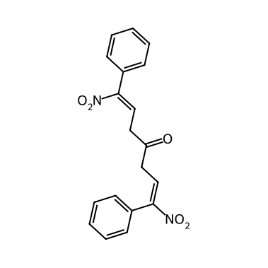 O=C(CC=C(c1ccccc1)[N+](=O)[O-])CC=C(c1ccccc1)[N+](=O)[O-]